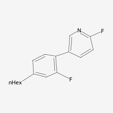 CCCCCCc1ccc(-c2ccc(F)nc2)c(F)c1